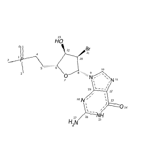 C=P(C)(C)CC[C@H]1O[C@@H](n2cnc3c(=O)[nH]c(N)nc32)[C@H](Br)[C@@H]1O